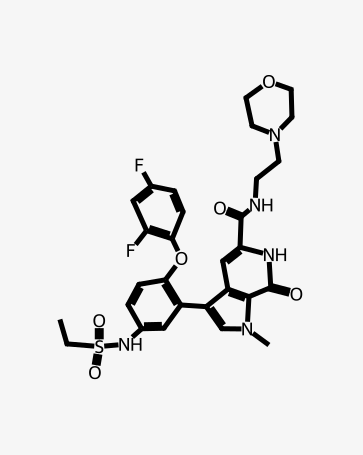 CCS(=O)(=O)Nc1ccc(Oc2ccc(F)cc2F)c(-c2cn(C)c3c(=O)[nH]c(C(=O)NCCN4CCOCC4)cc23)c1